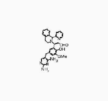 COc1cc(Cc2cnc(N)nc2N)cc(C(=CC=O)N2CCc3ccccc3C2c2ccccn2)c1O